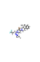 C=N/N=C(/CC1CC1(F)F)N1C=CC(N2CCC(c3ccccc3C)CC2)=C(Br)C1